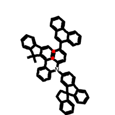 CC1(C)c2ccccc2-c2cccc(-c3ccccc3N(c3ccc(-c4cc5ccccc5c5ccccc45)cc3)c3ccc4c(c3)C3(CCc5ccccc53)c3ccccc3-4)c21